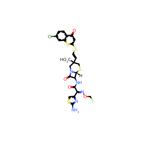 Nc1nc(C(=NOCF)C(=O)NC2C(=O)N3CC(C=CSc4cc(=O)c5ccc(Cl)cc5s4)(C(=O)O)CS[C@H]23)cs1